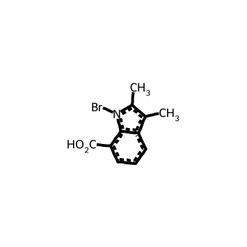 Cc1c(C)n(Br)c2c(C(=O)O)cccc12